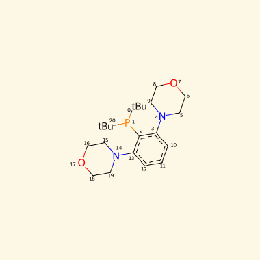 CC(C)(C)P(c1c(N2CCOCC2)cccc1N1CCOCC1)C(C)(C)C